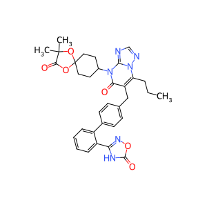 CCCc1c(Cc2ccc(-c3ccccc3-c3noc(=O)[nH]3)cc2)c(=O)n(C2CCC3(CC2)OC(=O)C(C)(C)O3)c2ncnn12